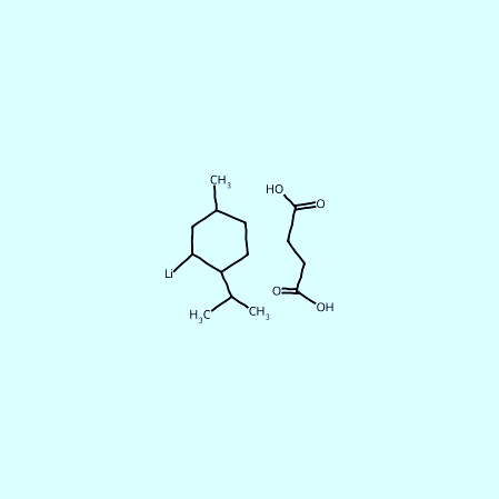 O=C(O)CCC(=O)O.[Li][CH]1CC(C)CCC1C(C)C